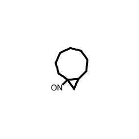 O=NC12CCCCCCCC1C2